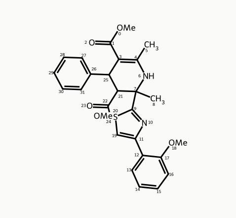 COC(=O)C1=C(C)NC(C)(c2nc(-c3ccccc3OC)cs2)C(C(=O)OC)C1c1ccccc1